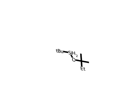 CCC(C)(C)O[SiH2]C(C)(C)C